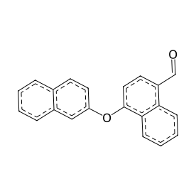 O=Cc1ccc(Oc2ccc3ccccc3c2)c2ccccc12